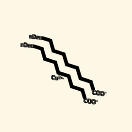 CCCCCCCCCCCCCCCCCC(=O)[O-].CCCCCCCCCCCCCCCCCC(=O)[O-].[Cu+2]